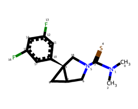 CN(C)C(=S)N1CC2C[C@]2(c2cc(F)cc(F)c2)C1